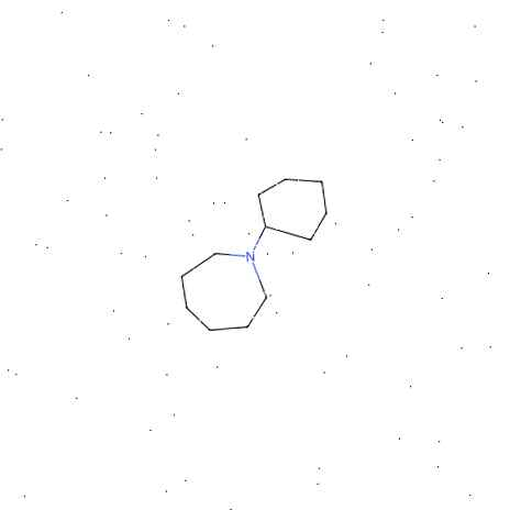 C1CCC(N2CCCCCC2)CC1